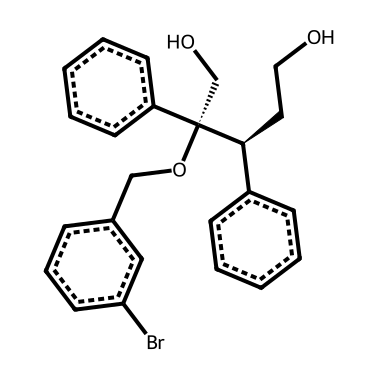 OCC[C@@H](c1ccccc1)[C@@](CO)(OCc1cccc(Br)c1)c1ccccc1